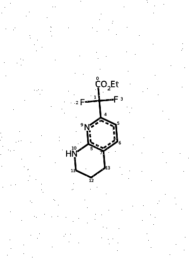 CCOC(=O)C(F)(F)c1ccc2c(n1)NCCC2